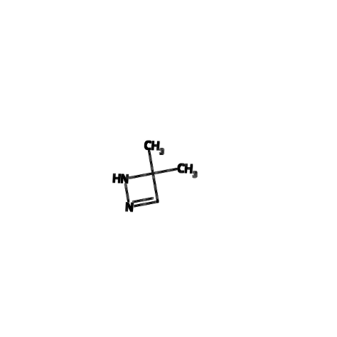 CC1(C)C=NN1